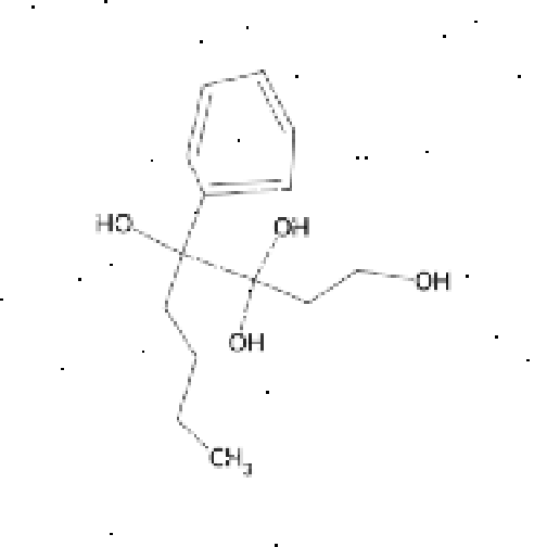 CCCCC(O)(c1ccccc1)C(O)(O)CCO